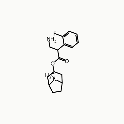 CN1C2CCC1CC(OC(=O)C(CN)c1ccccc1F)C2